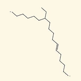 [CH2]CCCC/C=C/CCCCC(CC)CCCCC[CH2]